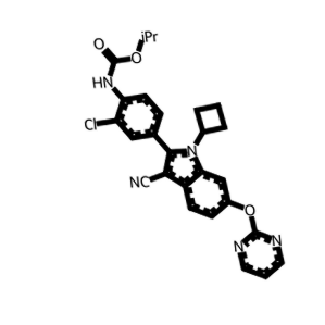 CC(C)OC(=O)Nc1ccc(-c2c(C#N)c3ccc(Oc4ncccn4)cc3n2C2CCC2)cc1Cl